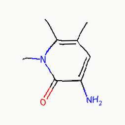 Cc1cc(N)c(=O)n(C)c1C